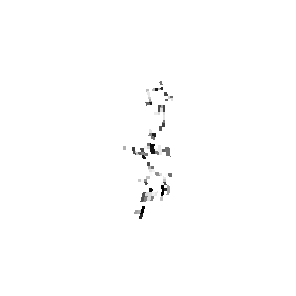 O=C(NCCN1CCCC1)c1cnn(I)c1